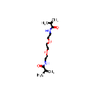 C=C(C)C(=O)NCCOCCOCCNC(=O)C(=C)C